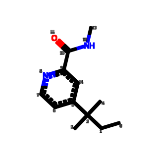 CCC(C)(C)c1ccnc(C(=O)NC)c1